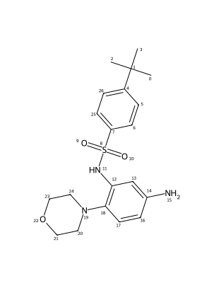 CC(C)(C)c1ccc(S(=O)(=O)Nc2cc(N)ccc2N2CCOCC2)cc1